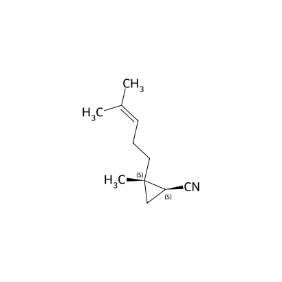 CC(C)=CCC[C@@]1(C)C[C@@H]1C#N